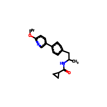 CCCOc1ccc(-c2ccc(CC(C)NC(=O)C3CC3)cc2)cn1